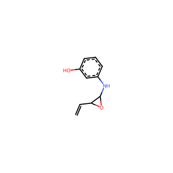 C=CC1OC1Nc1cccc(O)c1